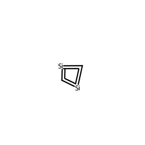 C1=[Si]=C=[Si]=1